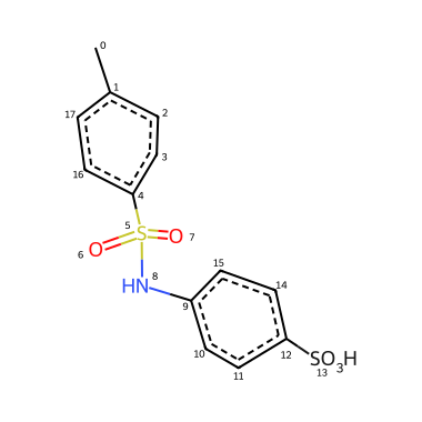 Cc1ccc(S(=O)(=O)Nc2ccc(S(=O)(=O)O)cc2)cc1